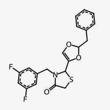 O=C1CSC(C2=COC(Cc3ccccc3)O2)N1Cc1cc(F)cc(F)c1